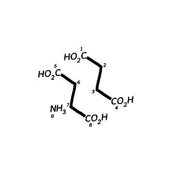 N.O=C(O)CCC(=O)O.O=C(O)CCC(=O)O